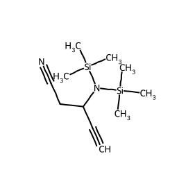 C#CC(CC#N)N([Si](C)(C)C)[Si](C)(C)C